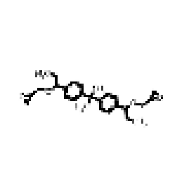 CCC(OCC1CO1)c1ccc(C(C)(C)c2ccc(C(CC)OCC3CO3)cc2)cc1